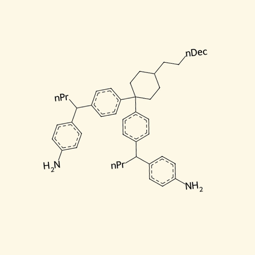 CCCCCCCCCCCCC1CCC(c2ccc(C(CCC)c3ccc(N)cc3)cc2)(c2ccc(C(CCC)c3ccc(N)cc3)cc2)CC1